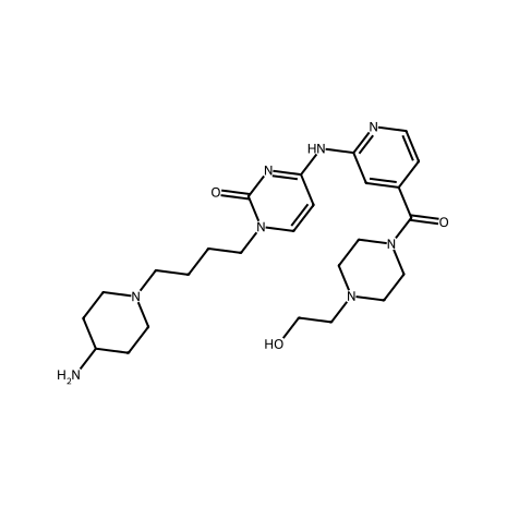 NC1CCN(CCCCn2ccc(Nc3cc(C(=O)N4CCN(CCO)CC4)ccn3)nc2=O)CC1